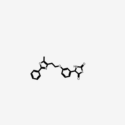 Cc1oc(-c2ccccc2)nc1CCOc1cccc(C2NC(=O)SC2=O)c1